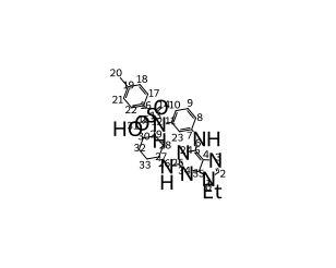 CCn1cnc2c(Nc3cccc(NS(=O)(=O)c4ccc(C)cc4)c3)nc(N[C@H]3CC[C@H](O)CC3)nc21